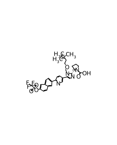 C[Si](C)(C)CCOCn1c(-c2ccc(-c3ccc4cc(OS(=O)(=O)C(F)(F)F)ccc4c3)nc2)cnc1[C@@H]1CCCN1C(=O)O